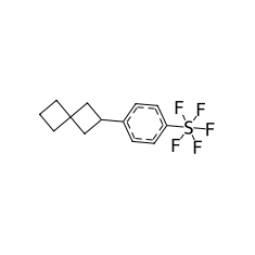 FS(F)(F)(F)(F)c1ccc(C2CC3(CCC3)C2)cc1